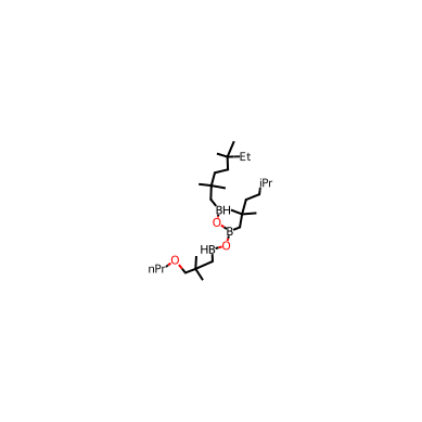 CCCOCC(C)(C)CBOB(CC(C)(C)CCC(C)C)OBCC(C)(C)CCC(C)(C)CC